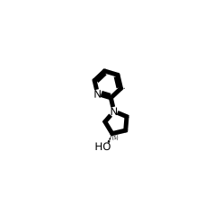 O[C@H]1CCN(c2[c]cccn2)C1